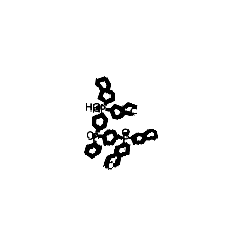 O=P(c1ccccc1)(c1ccc(P(=O)(c2ccc3ccccc3c2)c2ccc3ccccc3c2)cc1)c1ccc([PH](O)(c2ccc3ccccc3c2)c2ccc3ccccc3c2)cc1